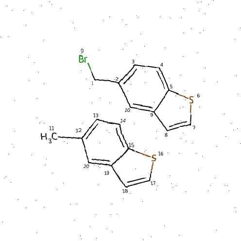 BrCc1ccc2sccc2c1.Cc1ccc2sccc2c1